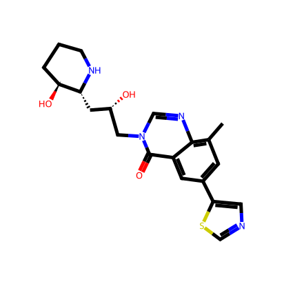 Cc1cc(-c2cncs2)cc2c(=O)n(C[C@@H](O)C[C@H]3NCCC[C@@H]3O)cnc12